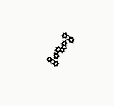 c1ccc2c(c1)Sc1ccccc1N2c1ccc2c(c1)sc1ccc3c(ccc4sc5cc(N6c7ccccc7Sc7ccccc76)ccc5c43)c12